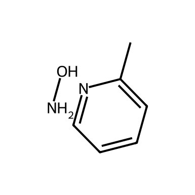 Cc1ccccn1.NO